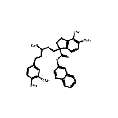 CNC(CCc1ccc(OC)c(OC)c1)CCC1(C(=O)Oc2cnc3ccccc3c2)CCc2c1ccc(OC)c2OC